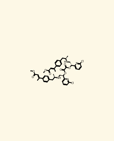 COC(=O)/C=C(\C)c1ccc(C[C@@H](C)NC[C@@H](OC(=O)C(=O)O[C@H](CN[C@H](C)Cc2ccc(/C(C)=C/C(=O)OC)cc2)c2cccc(Cl)n2)c2cccc(Cl)n2)cc1